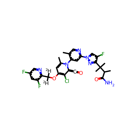 [2H]C([2H])(OC1=C(Cl)C(=C=O)N(c2cc(-n3cc(F)c(C(C)(C)C(C)C(N)=O)n3)ncc2C)C(C)=C1)c1ncc(F)cc1F